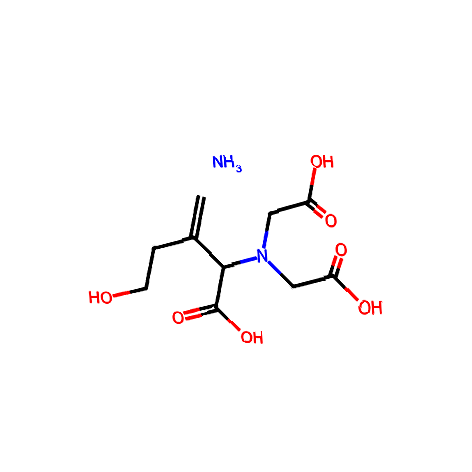 C=C(CCO)C(C(=O)O)N(CC(=O)O)CC(=O)O.N